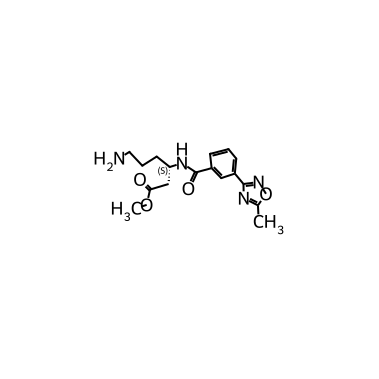 COC(=O)C[C@H](CCCN)NC(=O)c1cccc(-c2noc(C)n2)c1